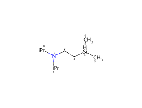 CC(C)N(CC[SiH](C)C)C(C)C